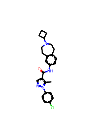 Cc1c(C(=O)Nc2ccc3c(c2)CCN(C2CCC2)CC3)cnn1-c1ccc(Cl)cc1